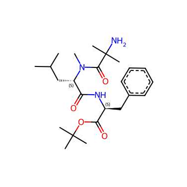 CC(C)C[C@@H](C(=O)N[C@@H](Cc1ccccc1)C(=O)OC(C)(C)C)N(C)C(=O)C(C)(C)N